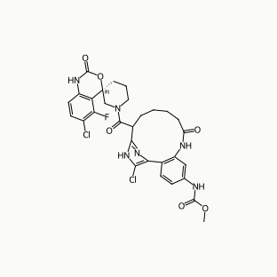 COC(=O)Nc1ccc2c(c1)NC(=O)CCCCC(C(=O)N1CCC[C@@]3(C1)OC(=O)Nc1ccc(Cl)c(F)c13)c1nc-2c(Cl)[nH]1